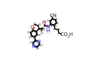 N#Cc1ccc(CCCC(=O)O)c(NC(=O)[C@@H]2C[C@]23CCOc2ccc(-c4cnccn4)cc23)c1